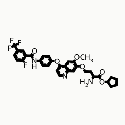 COc1cc2c(Oc3ccc(NC(=O)c4cc(C(F)(F)F)ccc4F)cc3)ccnc2cc1OCCC(N)C(=O)OC1CCCC1